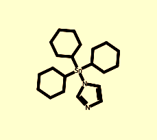 c1c[n]([Sn]([CH]2CCCCC2)([CH]2CCCCC2)[CH]2CCCCC2)cn1